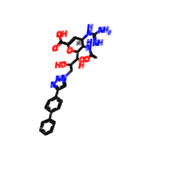 CC(=O)NC1C(C(O)C(O)Cn2cc(-c3ccc(-c4ccccc4)cc3)nn2)OC(C(=O)O)=C[C@H]1NC(=N)N